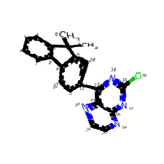 CC1(C)c2ccccc2-c2ccc(-c3nc(Cl)nc4nccnc34)cc21